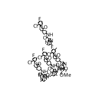 COCCNC(=O)c1ncn(C2CCC3(CC2)CCN(c2cc(C)c(F)cc2Cl)C3=O)c1C(N)=O.COCc1cc(C)n2ncc(C(=O)NC3CCC4(CC3)CCN(c3ccc(F)cc3Cl)C4=O)c2n1.Cc1ccn2ncc(C(=O)NC3CCC4(CC3)CCN(c3ccc(F)cc3Cl)C4=O)c2n1.Cc1ccnc2c(C(=O)NC3CCC4(CC3)CCN(c3ccc(F)cc3Cl)C4=O)cnn12